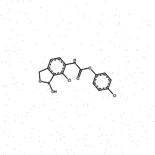 O=C(Nc1ccc2c(c1Cl)B(O)OC2)Oc1ccc(Cl)cc1